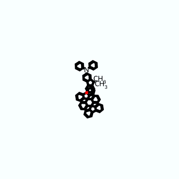 CC1(C)c2cc(-c3cccc4c3C3(c5ccccc5-c5ccccc53)c3ccccc3C43c4ccccc4-c4ccccc43)ccc2-c2ccc(N(c3ccccc3)c3ccccc3)cc21